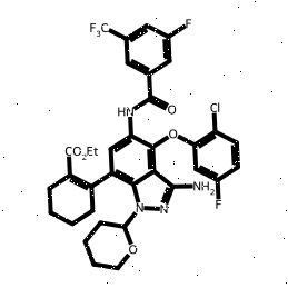 CCOC(=O)C1=C(c2cc(NC(=O)c3cc(F)cc(C(F)(F)F)c3)c(Oc3cc(F)ccc3Cl)c3c(N)nn(C4CCCCO4)c23)CCCC1